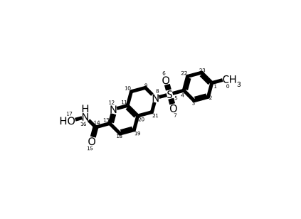 Cc1ccc(S(=O)(=O)N2CCc3nc(C(=O)NO)ccc3C2)cc1